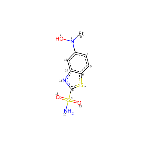 CCN(O)c1ccc2sc(S(N)(=O)=O)nc2c1